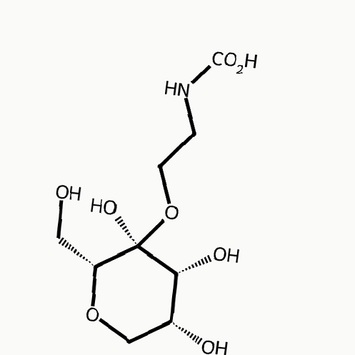 O=C(O)NCCO[C@@]1(O)[C@H](O)[C@H](O)CO[C@@H]1CO